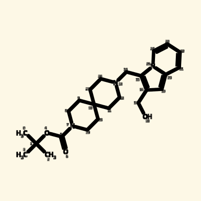 CC(C)(C)OC(=O)N1CCC2(CCN(Cc3c(CO)cc4ccccn34)CC2)CC1